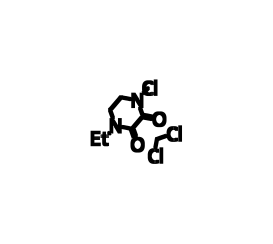 CCN1CCN(Cl)C(=O)C1=O.ClCCl